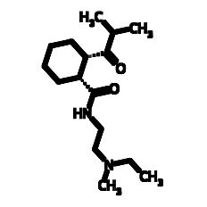 CCN(C)CCNC(=O)[C@@H]1CCCC[C@@H]1C(=O)C(C)C